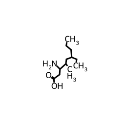 CCCC(CC)CC(C)C(N)CC(=O)O